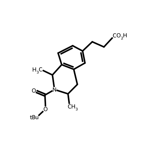 CC1Cc2cc(CCC(=O)O)ccc2C(C)N1C(=O)OC(C)(C)C